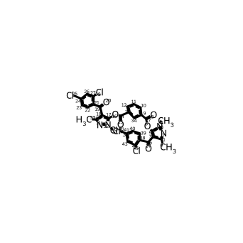 Cc1nn(C)c(OC(=O)c2cccc(C(=O)Oc3c(C(=O)c4ccc(Cl)cc4Cl)c(C)nn3C)c2)c1C(=O)c1ccc(Cl)cc1Cl